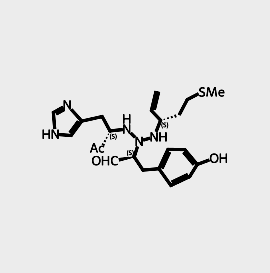 C=C[C@H](CCSC)NN(N[C@@H](Cc1c[nH]cn1)C(C)=O)[C@H](C=O)Cc1ccc(O)cc1